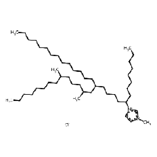 CCCCCCCCCCCCCCC(CCCCC(CCCCCCCC)[n+]1ccn(C)c1)CC(C)CCCC(C)CCCCCCCC.[Cl-]